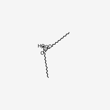 CCCCCCCCCCCCCCCC(=O)N(CCO)CC(O)COCCCCCCCCCCCCCC